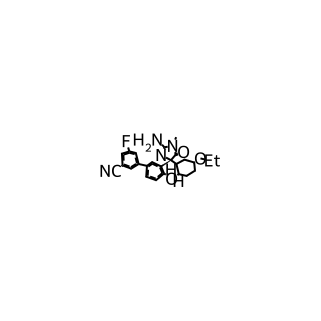 CCO[C@@H]1CC[C@@H]2Oc3ccc(-c4cc(F)cc(C#N)c4)cc3[C@]3(N=C(N)N(C)C3=O)[C@H]2C1